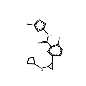 Cn1cc(NC(=O)c2cc(C3CC3NC3CCC3)ccc2F)cn1